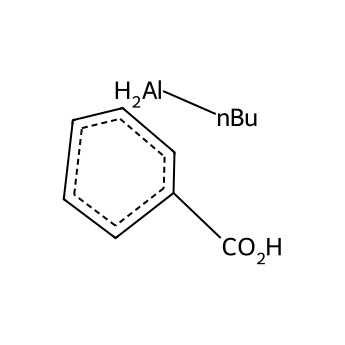 CCC[CH2][AlH2].O=C(O)c1ccccc1